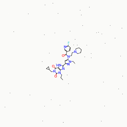 CCCn1c(=O)n(CC2CC2)c(=O)c2[nH]c(-c3cc(N(CCN4CCCCC4)C(=O)c4ccc(F)nc4)n(CC)n3)nc21